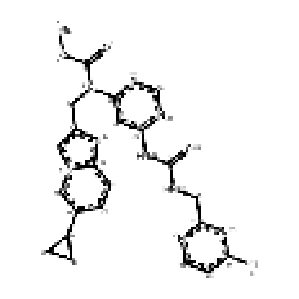 CC(C)(C)OC(=O)N(Cc1cn2cc(C3CC3)ccc2n1)c1cc(NC(=O)NCc2nccc(Cl)n2)ncn1